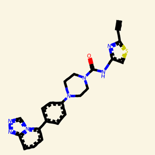 C#Cc1nc(NC(=O)N2CCN(c3ccc(-c4cccc5nncn45)cc3)CC2)cs1